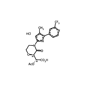 CC(=O)O[C@@H](C(=O)O)[C@H]1OCCN(c2cc(C)n(-c3ccnc(C(F)(F)F)c3)n2)C1=O.Cl